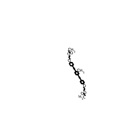 C=CC(=O)OCCCOC1=CC=C(C#Cc2ccc(C#Cc3ccc(OCCCOC(=O)C=C)cc3)cc2C)CC1